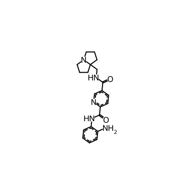 Nc1ccccc1NC(=O)c1ccc(C(=O)NCC23CCCN2CCC3)cn1